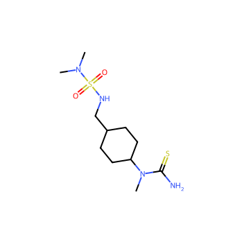 CN(C(N)=S)C1CCC(CNS(=O)(=O)N(C)C)CC1